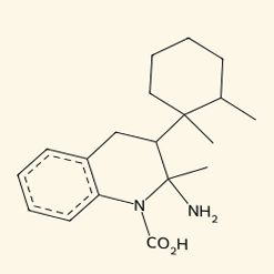 CC1CCCCC1(C)C1Cc2ccccc2N(C(=O)O)C1(C)N